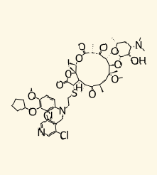 COc1ccc(N(CCS[C@@H]2C(=O)O[C@@]3(C)[C@H]2[C@@H](C)C(=O)[C@H](C)C[C@@](C)(OC)[C@H](O[C@@H]2O[C@H](C)C[C@H](N(C)C)[C@H]2O)[C@@H](C)C(=O)[C@@H](C)C(=O)O[C@@H]3I)Cc2c(Cl)cncc2Cl)cc1OC1CCCC1